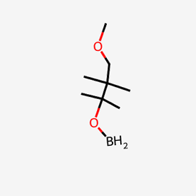 BOC(C)(C)C(C)(C)COC